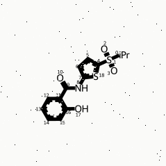 CC(C)S(=O)(=O)c1ccc(NC(=O)c2ccccc2O)s1